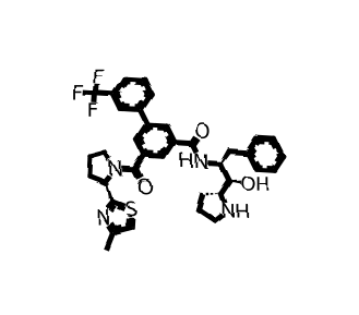 Cc1csc([C@H]2CCCN2C(=O)c2cc(C(=O)N[C@@H](Cc3ccccc3)[C@@H](O)[C@H]3CCCN3)cc(-c3cccc(C(F)(F)F)c3)c2)n1